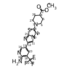 COC(=O)C1CCN(c2nn3cc(-c4cnc(N)c(C(F)(F)F)c4)nc3s2)CC1